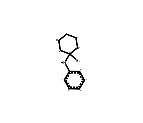 CCC1(Nc2ccccc2)CCCCC1